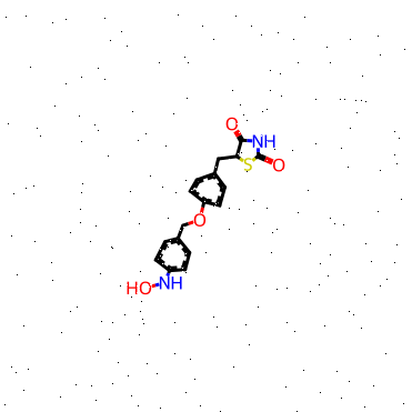 O=C1NC(=O)C(Cc2ccc(OCc3ccc(NO)cc3)cc2)S1